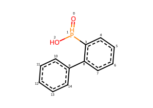 O=[PH](O)c1ccccc1-c1ccccc1